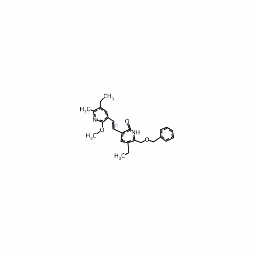 CCc1cc(/C=C/c2cc(CC)c(COCc3ccccc3)[nH]c2=O)c(OC)nc1C